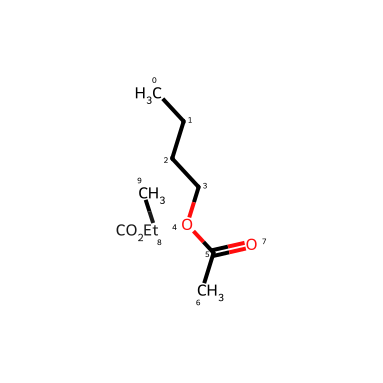 CCCCOC(C)=O.CCOC(C)=O